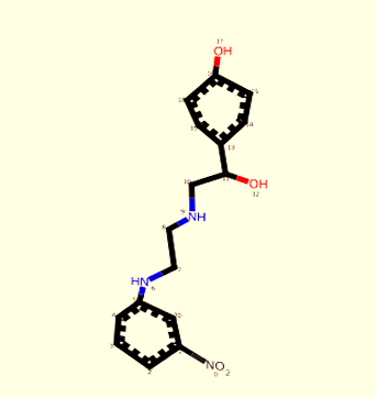 O=[N+]([O-])c1cccc(NCCNCC(O)c2ccc(O)cc2)c1